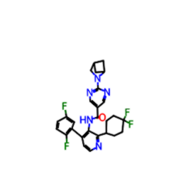 O=C(Nc1c(-c2cc(F)ccc2F)ccnc1C1CCC(F)(F)CC1)c1cnc(N2CC3CC2C3)nc1